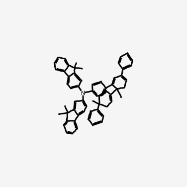 CC1(C2=CCC(C)(c3ccccc3)C=C2)CC=C(c2ccccc2)C=C1c1ccc(N(c2ccc3c(c2)C(C)(C)c2ccccc2-3)c2ccc3c(c2)C(C)(C)c2ccccc2-3)cc1